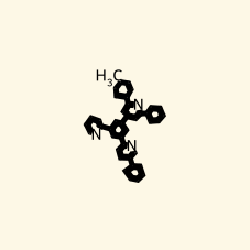 CC1C=CC(c2cc(-c3cc(-c4ccccn4)cc(-c4ccc(-c5ccccc5)cn4)c3)cc(-c3ccccc3)n2)=CC1